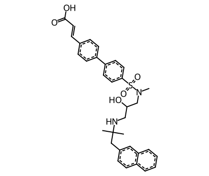 CN(CC(O)CNC(C)(C)Cc1ccc2ccccc2c1)S(=O)(=O)c1ccc(-c2ccc(C=CC(=O)O)cc2)cc1